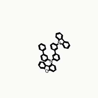 c1ccc(-c2cccc(N(c3cccc(-c4cccc(-n5c6ccccc6c6ccccc65)c4)c3)c3cccc4oc5ccccc5c34)c2)cc1